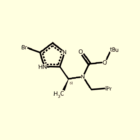 CC(C)CN(C(=O)OC(C)(C)C)[C@@H](C)c1ncc(Br)[nH]1